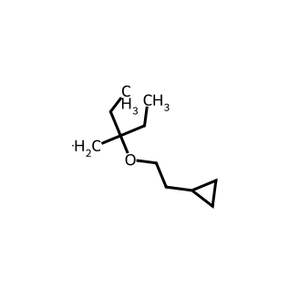 [CH2]C(CC)(CC)OCCC1CC1